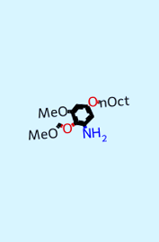 CCCCCCCCOc1cc(N)c(OCOC)c(OC)c1